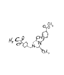 COC(=O)c1ccc(CN2[C@H](C)CN(Cc3ccc(S(C)(=O)=O)cc3)C[C@@H]2C)cc1